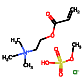 C=CC(=O)OCC[N+](C)(C)C.COS(=O)(=O)O.[Cl-]